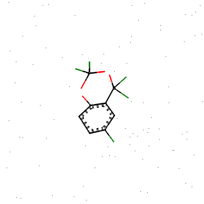 FC1(F)Oc2ccc(Cl)cc2C(F)(F)O1